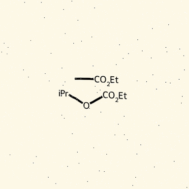 CCOC(=O)OC(C)C.CCOC(C)=O